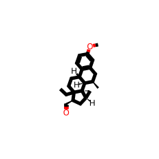 CCC12CC[C@@H]3c4ccc(OC)cc4C[C@@H](C)[C@H]3[C@]13C[C@H]3C[C@H]2C=O